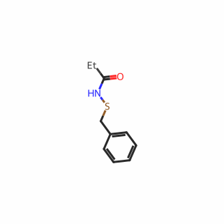 CCC(=O)NSCc1ccccc1